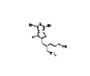 CCCCC(CC)Cc1sc2c(Br)sc(Br)c2c1F